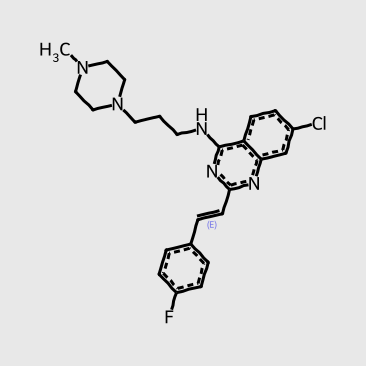 CN1CCN(CCCNc2nc(/C=C/c3ccc(F)cc3)nc3cc(Cl)ccc23)CC1